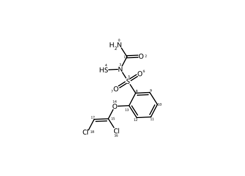 NC(=O)N(S)S(=O)(=O)c1ccccc1OC(Cl)=CCl